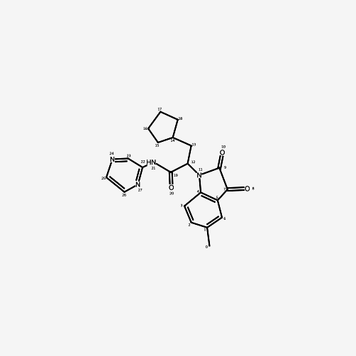 Cc1ccc2c(c1)C(=O)C(=O)N2C(CC1CCCC1)C(=O)Nc1cnccn1